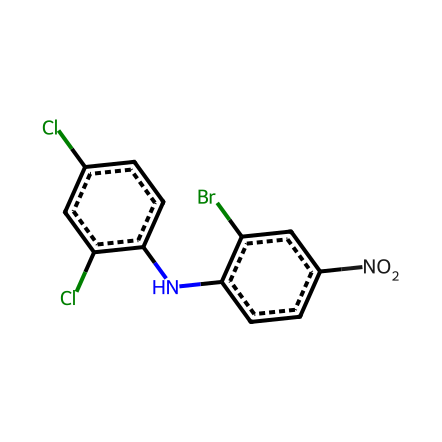 O=[N+]([O-])c1ccc(Nc2ccc(Cl)cc2Cl)c(Br)c1